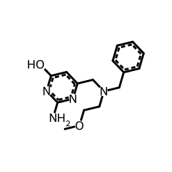 COCCN(Cc1ccccc1)Cc1cc(O)nc(N)n1